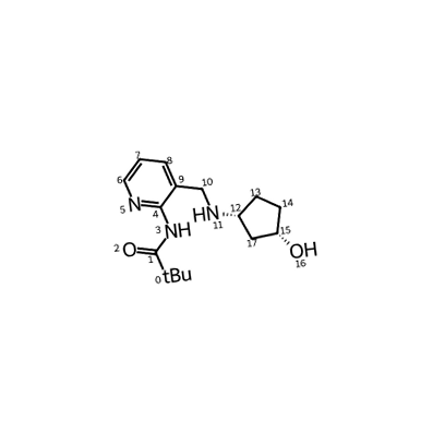 CC(C)(C)C(=O)Nc1ncccc1CN[C@@H]1CC[C@H](O)C1